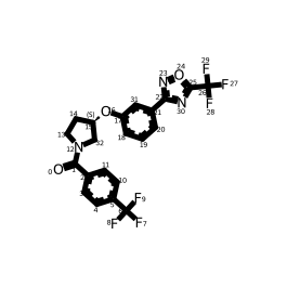 O=C(c1ccc(C(F)(F)F)cc1)N1CC[C@H](Oc2cccc(-c3noc(C(F)(F)F)n3)c2)C1